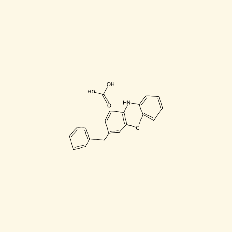 O=C(O)O.c1ccc(Cc2ccc3c(c2)Oc2ccccc2N3)cc1